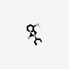 C=C/C(=C\C)n1cc2c(C(F)(F)F)cccn2c1=O